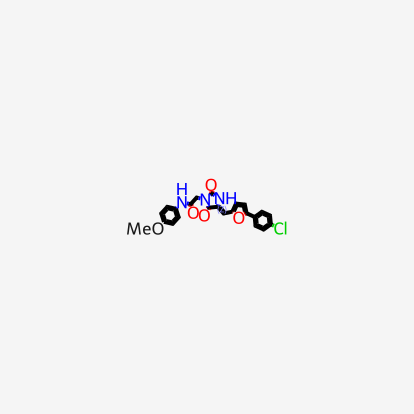 COc1ccc(NC(=O)CN2C(=O)N/C(=C\c3ccc(-c4ccc(Cl)cc4)o3)C2=O)cc1